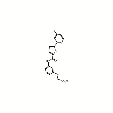 O=C(O)CCc1cccc(NC(=O)c2ccc(-c3cccc(Cl)c3)o2)c1